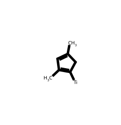 CC1=CC(C)=[C]([Ti])C1